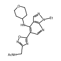 CCn1ncc2c(NC3CCOCC3)c(-c3nc(CNC(C)=O)no3)cnc21